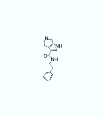 O=C(NCCc1ccccc1)c1c[nH]c2cnccc12